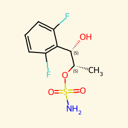 C[C@H](OS(N)(=O)=O)[C@@H](O)c1c(F)cccc1F